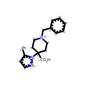 CC(C)c1ccnn1C1(C(=O)O)CCN(Cc2ccccc2)CC1